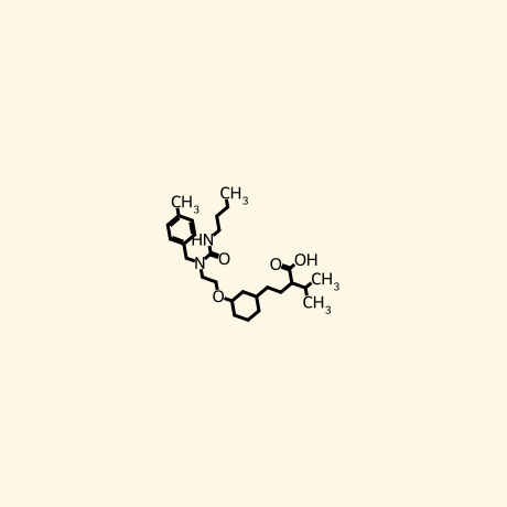 CCCCNC(=O)N(CCOC1CCCC(CCC(C(=O)O)C(C)C)C1)Cc1ccc(C)cc1